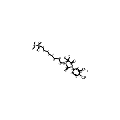 CN(C)S(=O)(=O)CCCCCCCCN1C(=S)N(c2ccc(C#N)c(C(F)(F)F)c2)C(=O)C1(C)C